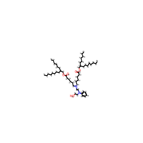 CCCCCCCCC(CCCCCC)COC(=O)CCCCCN(CCCCCC(=O)OCC(CCCCCC)CCCCCCCC)CCN(CCO)c1ccccc1